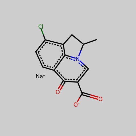 CC1Cc2c(Cl)ccc3c(=O)c(C(=O)[O-])cn1c23.[Na+]